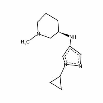 CN1CCC[C@@H](Nc2cnn(C3CC3)c2)C1